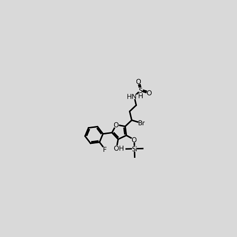 C[Si](C)(C)Oc1c(C(Br)CCN[SH](=O)=O)oc(-c2ccccc2F)c1O